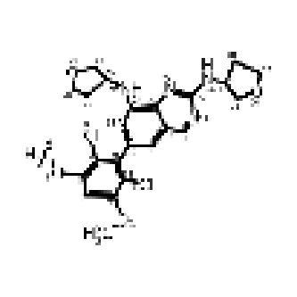 COc1cc(OC)c(Cl)c(-c2cc3cnc(NC4CCOC4)nc3c(NC3CCOC3)n2)c1Cl